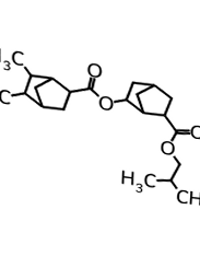 CC(C)COC(=O)C1CC2CC(OC(=O)C3CC4CC3C(C)C4C)C1C2